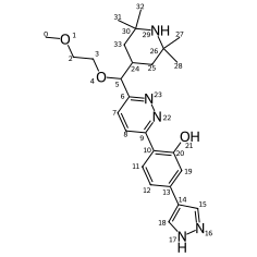 COCCOC(c1ccc(-c2ccc(-c3cn[nH]c3)cc2O)nn1)C1CC(C)(C)NC(C)(C)C1